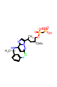 CO[C@H](COP(=O)(O)CP(=O)(O)O)CC(C)c1cnc2c(N[C@@H](C)c3cccc(F)c3)cc(Cl)nn12